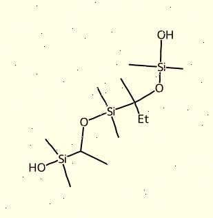 CCC(C)(O[Si](C)(C)O)[Si](C)(C)OC(C)[Si](C)(C)O